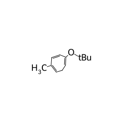 CC1=CCC=C(OC(C)(C)C)C=C1